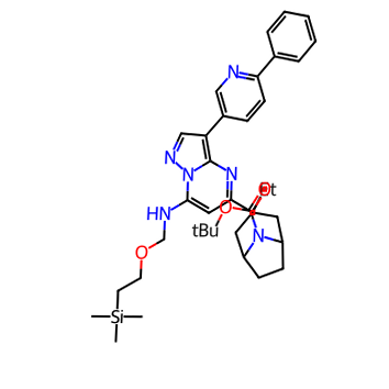 CCC1(c2cc(NCOCC[Si](C)(C)C)n3ncc(-c4ccc(-c5ccccc5)nc4)c3n2)CC2CCC(C1)N2C(=O)OC(C)(C)C